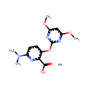 COc1cc(OC)nc(Oc2ccc(N(C)C)nc2C(=O)O)n1.[KH]